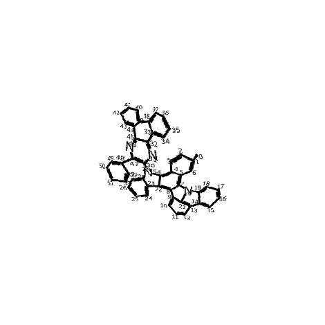 Cc1ccc2c(c1)c1c(c3cccc4c5ccccc5n1c43)c1c3ccccc3n(-c3nc4c5ccccc5c5ccccc5c4nc3-c3ccccc3)c21